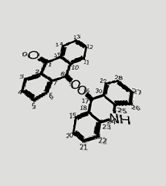 O=C1c2ccccc2C(=O)c2ccccc21.O=c1c2ccccc2[nH]c2ccccc12